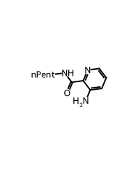 CCCCCNC(=O)c1ncccc1N